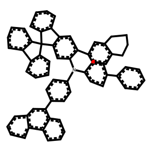 c1ccc(-c2ccc(N(c3ccc(-c4cc5ccccc5c5ccccc45)cc3)c3cc4c(cc3-c3ccc5c(c3)CCCC5)-c3ccccc3C43c4ccccc4-c4ccccc43)cc2)cc1